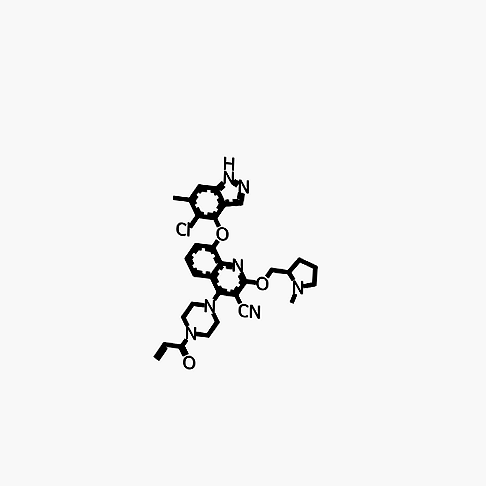 C=CC(=O)N1CCN(c2c(C#N)c(OCC3CCCN3C)nc3c(Oc4c(Cl)c(C)cc5[nH]ncc45)cccc23)CC1